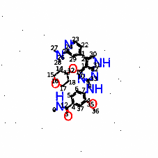 CNC(=O)c1ccc(Nc2nc(OC3CCOCC3)c3c(-c4ccnc(N(C)C)c4)c[nH]c3n2)c(OC)c1